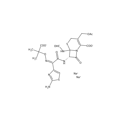 CC(=O)OCC1=C(C(=O)[O-])N2C(=O)[C@H](NC(=O)/C(=N\OC(C)(C)C(=O)[O-])c3csc(N)n3)C2(NC=O)SC1.[Na+].[Na+]